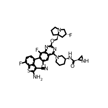 N#Cc1c(N)sc2c(F)ccc(-c3c(Cl)cc4c(N5CCC[C@H](NC(=O)[C@H]6CN6)C5)nc(OC[C@@]56CCCN5C[C@H](F)C6)nc4c3F)c12